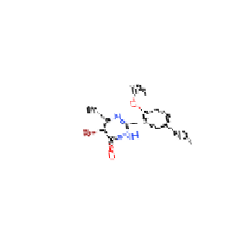 CCCOc1ccc([N+](=O)[O-])cc1-c1nc(C(C)C)c(Br)c(=O)[nH]1